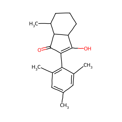 Cc1cc(C)c(C2=C(O)C3CCCC(C)C3C2=O)c(C)c1